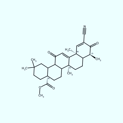 COC(=O)[C@@]12CCC3C(C(=O)C=C4[C@@]5(C)C=C(C#N)C(=O)[C@@H](C)C5CC[C@]43C)C1CC(C)(C)CC2